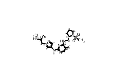 CNC(=O)Cn1cc(Nc2ncc(Cl)c(NC[C@H]3CCCN3S(C)(=O)=O)n2)cn1